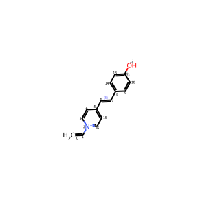 C=C[n+]1ccc(/C=C/c2ccc(O)cc2)cc1